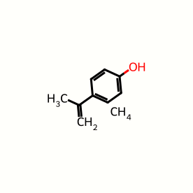 C.C=C(C)c1ccc(O)cc1